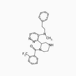 CN(CCc1ccccc1)c1ccnnc1C1CNCCN1C(=O)c1ccccc1C(F)(F)F